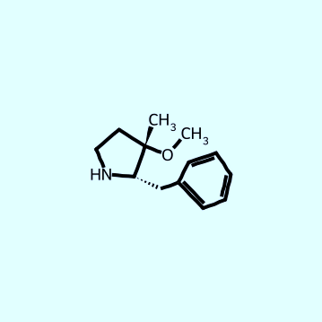 CO[C@@]1(C)CCN[C@H]1Cc1ccccc1